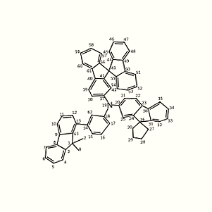 CC1(C)c2ccccc2-c2cccc(-c3cccc(N(c4ccc5c(c4)C4(CCCC4)c4ccccc4-5)c4ccc5c(c4)C4(c6ccccc6-c6ccccc64)c4ccccc4-5)c3)c21